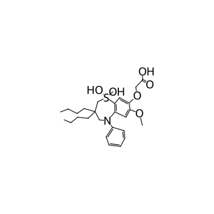 CCCCC1(CCCC)CN(c2ccccc2)c2cc(OC)c(OCC(=O)O)cc2S(O)(O)C1